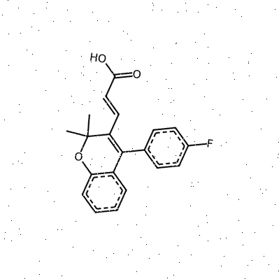 CC1(C)Oc2ccccc2C(c2ccc(F)cc2)=C1C=CC(=O)O